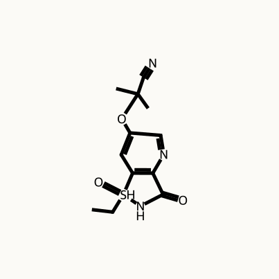 CC[SH]1(=O)NC(=O)c2ncc(OC(C)(C)C#N)cc21